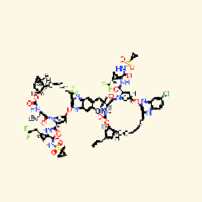 C=CC[C@@H]1C[C@H]2CCCCCCc3nc4ccc(Cl)cc4nc3O[C@@H]3C[C@@H](C(=O)N[C@]4(C(=O)NS(=O)(=O)C5CC5)C[C@H]4C(F)F)N(C3)C(=O)[C@H](C(C)(C)Cc3cc4nc5c(nc4cc3OC)O[C@@H]3C[C@@H](C(=O)N[C@]4(C(=O)NS(=O)(=O)C6(C)CC6)C[C@H]4CC(F)F)N(C3)C(=O)[C@H](C(C)(C)C)NC(=O)O[C@@H]3CC4C[C@@H]4[C@H]3CCCCC5(F)F)NC(=O)O[C@@H]2C1